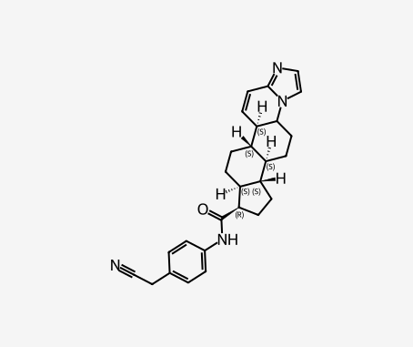 N#CCc1ccc(NC(=O)[C@@H]2CC[C@H]3[C@@H]4CCC5[C@H](C=Cc6nccn65)[C@H]4CC[C@@H]32)cc1